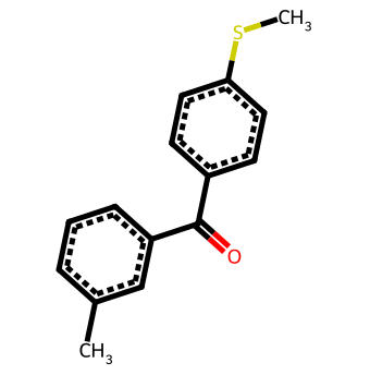 CSc1ccc(C(=O)c2cccc(C)c2)cc1